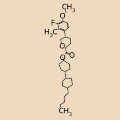 CCCCCC1CCC(C2CCC(OC(=O)C3CCC(c4ccc(OCC)c(F)c4C)CO3)CC2)CC1